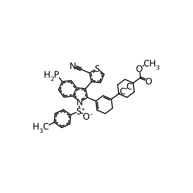 COC(=O)C12CCC(C3=CC(c4c(-c5ccsc5C#N)c5cc(P)ccc5n4[S+]([O-])c4ccc(C)cc4)=CCC3)(CC1)CC2